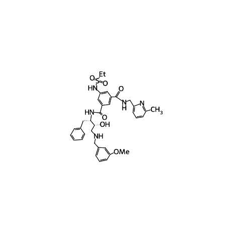 CCS(=O)(=O)Nc1cc(C(=O)NCc2cccc(C)n2)cc(C(=O)N[C@@H](Cc2ccccc2)[C@H](O)CNCc2cccc(OC)c2)c1